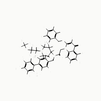 [2H]c1c([2H])c(F)c(F)c(CSc2c([2H])c(=O)c3c([2H])c([2H])c([2H])c([2H])c3n2CC(=O)N(Cc2c([2H])c([2H])c(-c3c([2H])c([2H])c(C(F)(F)F)c(C)c3[2H])c([2H])c2[2H])C2([2H])C([2H])([2H])C([2H])([2H])N(C([2H])([2H])C([2H])([2H])OC([2H])([2H])[2H])C([2H])([2H])C2([2H])[2H])c1[2H]